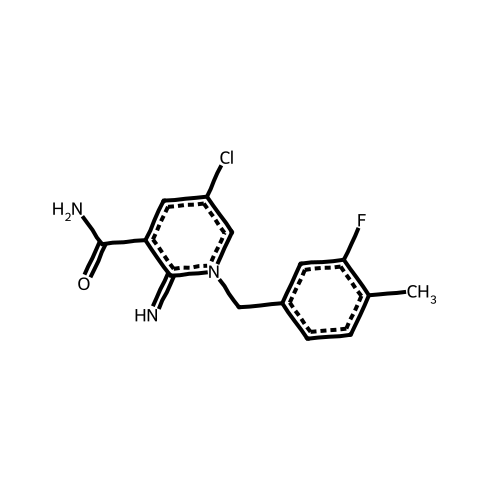 Cc1ccc(Cn2cc(Cl)cc(C(N)=O)c2=N)cc1F